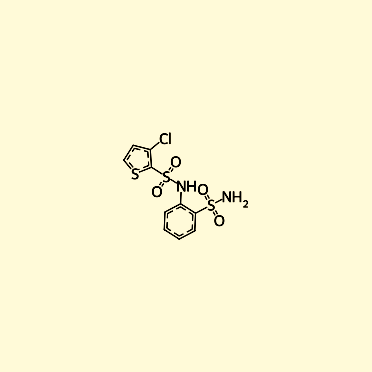 NS(=O)(=O)c1ccccc1NS(=O)(=O)c1sccc1Cl